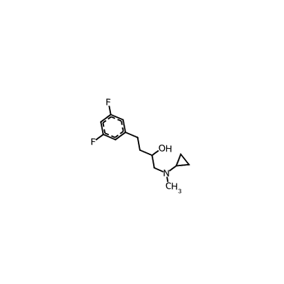 CN(CC(O)CCc1cc(F)cc(F)c1)C1CC1